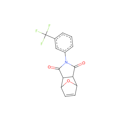 O=C1C2C3C=CC(O3)C2C(=O)N1c1cccc(C(F)(F)F)c1